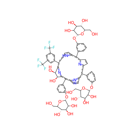 OCC1O[C@H](Oc2cccc(-c3c4nc(c(-c5cccc(O[C@H]6OC(CO)[C@@H](O)[C@H](O)C6O)c5)c5ccc([nH]5)c(-c5cc(C(F)(F)F)cc(C(F)(F)F)c5)c5nc(c(-c6cccc(O[C@H]7OC(CO)[C@@H](O)[C@H](O)C7O)c6)c6ccc3[nH]6)[C@@H](O)[C@H]5O)C=C4)c2)C(O)[C@@H](O)[C@@H]1O